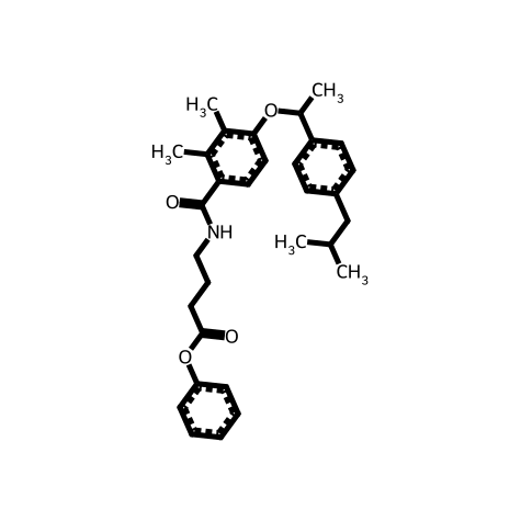 Cc1c(OC(C)c2ccc(CC(C)C)cc2)ccc(C(=O)NCCCC(=O)Oc2ccccc2)c1C